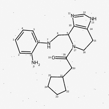 Nc1ccccc1NCC1c2nc[nH]c2CCN1C(=O)CC1CCCC1